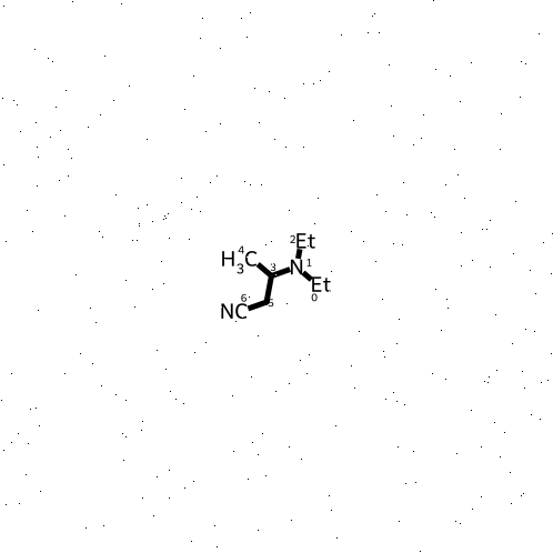 CCN(CC)C(C)CC#N